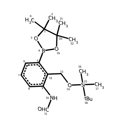 CC1(C)OB(c2cccc(NC=O)c2CO[Si](C)(C)C(C)(C)C)OC1(C)C